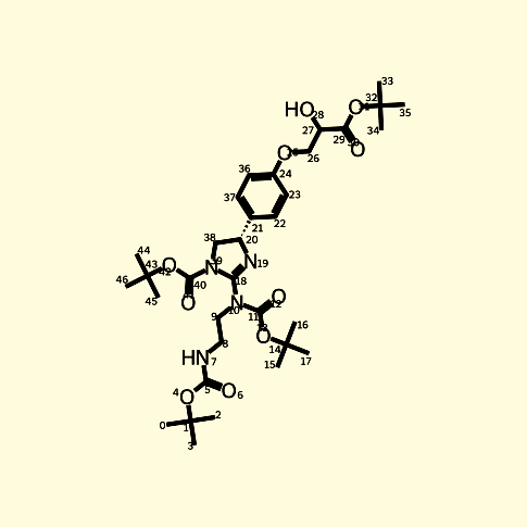 CC(C)(C)OC(=O)NCCN(C(=O)OC(C)(C)C)C1=N[C@@H](c2ccc(OCC(O)C(=O)OC(C)(C)C)cc2)CN1C(=O)OC(C)(C)C